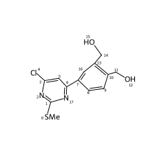 CSc1nc(Cl)cc(-c2ccc(CO)c(CO)c2)n1